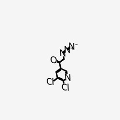 [N-]=[N+]=NCC(=O)c1cnc(Cl)c(Cl)c1